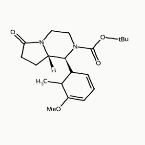 COC1=CC=CC([C@H]2[C@@H]3CCC(=O)N3CCN2C(=O)OC(C)(C)C)C1C